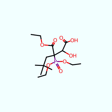 CCOC(=O)C(CC(C)(C)C)(C(O)C(=O)O)P(=O)(OCC)OCC